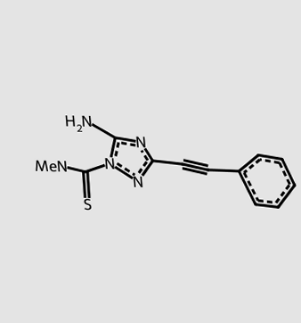 CNC(=S)n1nc(C#Cc2ccccc2)nc1N